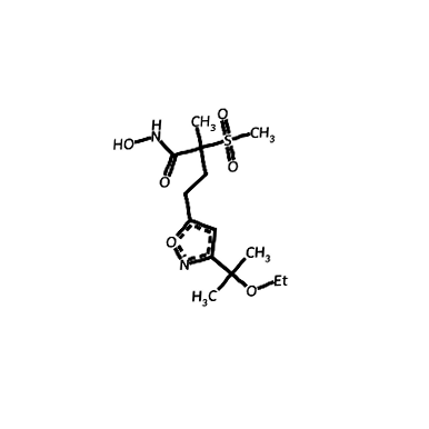 CCOC(C)(C)c1cc(CCC(C)(C(=O)NO)S(C)(=O)=O)on1